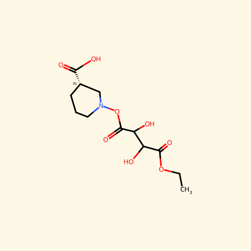 CCOC(=O)C(O)C(O)C(=O)ON1CCC[C@H](C(=O)O)C1